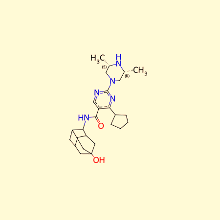 C[C@@H]1CN(c2ncc(C(=O)NC3C4CC5CC3CC(O)(C5)C4)c(C3CCCC3)n2)C[C@H](C)N1